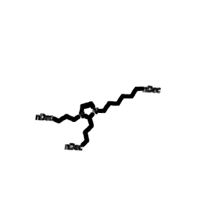 CCCCCCCCCCCCCCCCN1C=CN(CCCCCCCCCCCCC)C1CCCCCCCCCCCCC